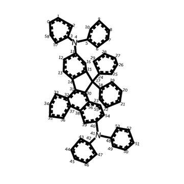 c1ccc(N(c2ccccc2)c2ccc3c(c2)C(c2ccccc2)(c2ccccc2)c2c-3c3ccccc3c3cc(N(c4ccccc4)c4ccccc4)ccc23)cc1